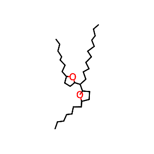 CCCCCCCCCCCC(C1CCC(CCCCCCC)O1)C1CCC(CCCCCCC)O1